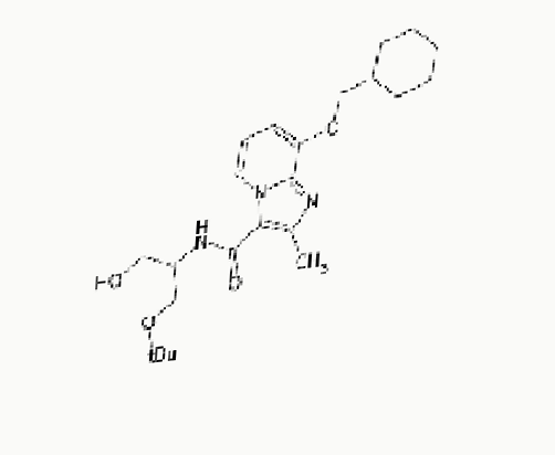 Cc1nc2c(OCC3CCCCC3)cccn2c1C(=O)NC(CO)COC(C)(C)C